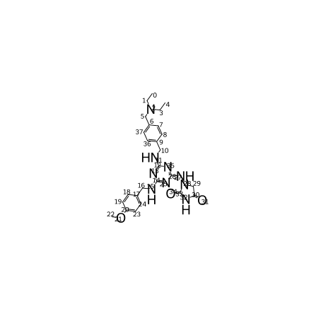 CCN(CC)Cc1ccc(CNc2nc(NCc3ccc(OC)cc3)nc(NN3CC(=O)NC3=O)n2)cc1